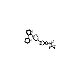 O=C(N1CC2(CC[C@@H](N3CCN(c4ncccc4-c4cnccn4)CC3)C2)C1)C1(F)CC1